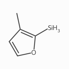 Cc1ccoc1[SiH3]